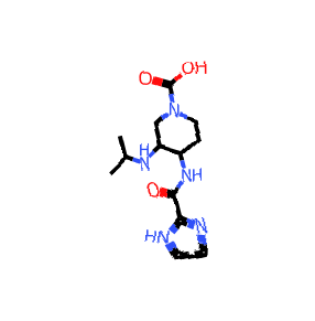 CC(C)NC1CN(C(=O)O)CCC1NC(=O)c1ncc[nH]1